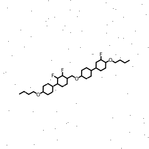 CCCCOC1CCC(C2CCC(COC3CCC(C4CCC(OCCCC)C(F)C4)CC3)C(F)C2F)CC1